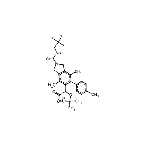 Cc1ccc(-c2c(C)c3c(c(C)c2C(OC(C)(C)C)C(=O)O)CN(C(=O)NCC(F)(F)F)C3)cc1